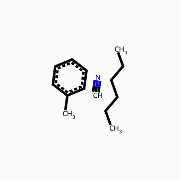 C#N.CCCCCC.Cc1ccccc1